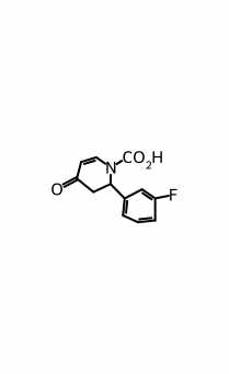 O=C1C=CN(C(=O)O)C(c2cccc(F)c2)C1